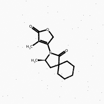 CC1=C(N2C(=O)C3(CCCCC3)C[C@H]2C)COC1=O